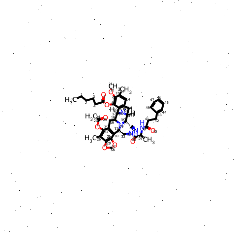 CCCCCC(=O)Oc1c(OC)c(C)cc2c1[C@@H]1C3Cc4c(OC(C)=O)c(C)c5c(c4[C@H](CNC(=O)C(C)NC(=O)CCc4ccccc4)N3[C@@H](C#N)[C@@H](C2)N1C)OCO5